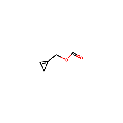 O=[C]OCC1=CC1